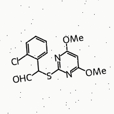 COc1cc(OC)nc(SC(C=O)c2ccccc2Cl)n1